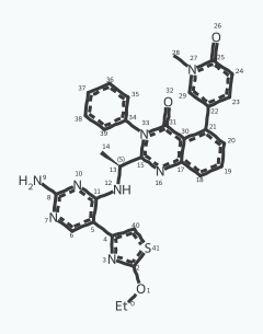 CCOc1nc(-c2cnc(N)nc2N[C@@H](C)c2nc3cccc(-c4ccc(=O)n(C)c4)c3c(=O)n2-c2ccccc2)cs1